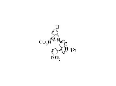 Cc1nc(-c2cccc([N+](=O)[O-])c2)c(CC(=O)NCc2cc(Cl)ccc2OCC(=O)O)c(=O)n1CC(C)C